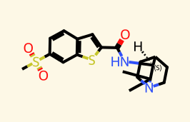 CC1(C)[C@@H](NC(=O)c2cc3ccc(S(C)(=O)=O)cc3s2)C2CCN1CC2